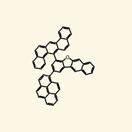 c1ccc2cc3c(cc2c1)oc1c(-c2c4ccc5ccccc5c4cc4ccc5ccccc5c24)cc(-c2ccc4ccc5cccc6ccc2c4c56)cc13